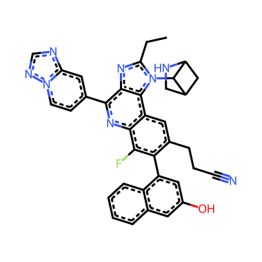 CCc1nc2c(-c3ccn4ncnc4c3)nc3c(F)c(-c4cc(O)cc5ccccc45)c(CCC#N)cc3c2n1C1C2CNC1C2